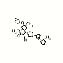 Cc1cc2c(N3CCC(c4cnn(-c5ccccc5C)c4)CC3)c(C#N)c(=O)n(C)c2cc1O[C@@H]1CCOC1